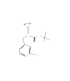 CC(C)(C)OC(=O)N(Cc1cccc(N)c1)C1CC1